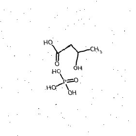 CC(O)CC(=O)O.O=P(O)(O)O